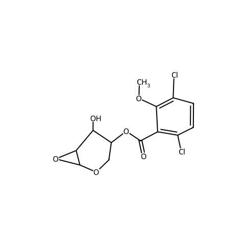 COc1c(Cl)ccc(Cl)c1C(=O)OC1COC2OC2C1O